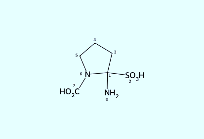 NC1(S(=O)(=O)O)CCCN1C(=O)O